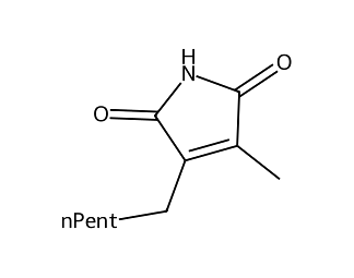 [CH2]CCCCCC1=C(C)C(=O)NC1=O